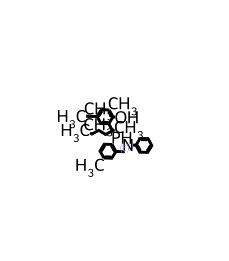 CCCCC(C)(Pc1ccc(C)cc1/C=N/c1ccccc1)c1cc(C(C)(C)C)cc(C)c1O